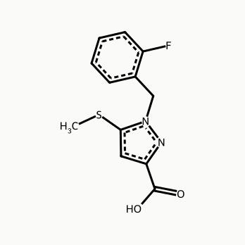 CSc1cc(C(=O)O)nn1Cc1ccccc1F